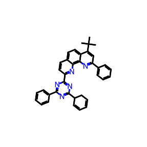 CC(C)(C)c1cc(-c2ccccc2)nc2c1ccc1ccc(-c3nc(-c4ccccc4)nc(C4C=CC=CC4)n3)nc12